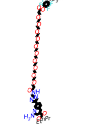 CCCC(OCC)C(=O)C1=Cc2ccc(-c3cnc(CNC(=O)CCOCCOCCOCCOCCOCCOCCOCCOCCOCCOCCC(=O)Oc4c(F)c(F)c(S(=O)(=O)O)c(F)c4F)nc3)cc2N=C(N)C1